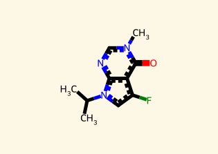 CC(C)n1cc(F)c2c(=O)n(C)cnc21